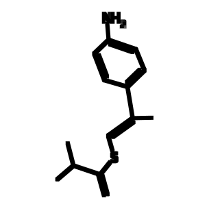 C=C(S/C=C(\C)c1ccc(N)cc1)C(C)C